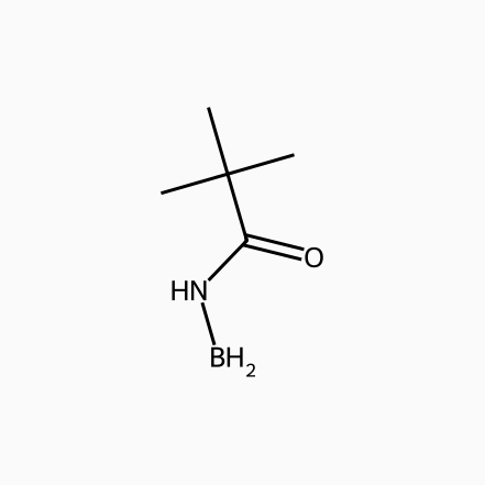 BNC(=O)C(C)(C)C